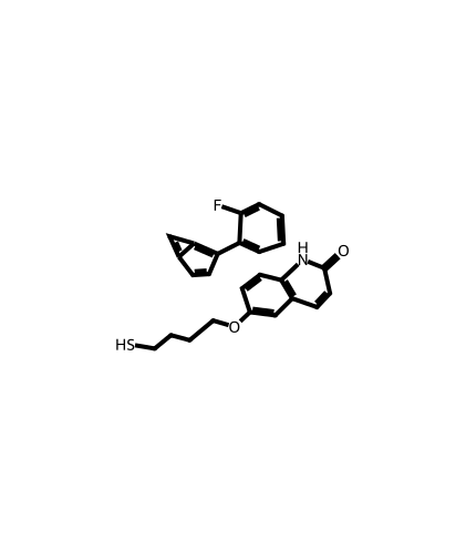 Fc1ccccc1-c1ccc2cc1-2.O=c1ccc2cc(OCCCCS)ccc2[nH]1